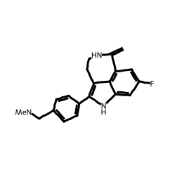 C=C1NCCc2c(-c3ccc(CNC)cc3)[nH]c3cc(F)cc1c23